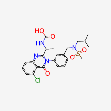 CC(C)CN(Cc1cccc(-n2c(C(C)NC(=O)O)nc3cccc(Cl)c3c2=O)c1)S(C)(=O)=O